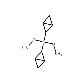 CO[Si](OC)(C1C2CC21)C1C2CC21